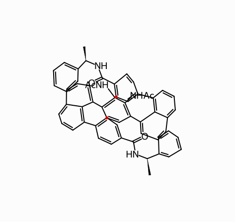 CC(=O)Nc1c(-c2cccc3cccc(-c4ccc(C(=O)N[C@H](C)c5ccccc5)cc4)c23)ccc(-c2cccc3cccc(-c4ccc(C(=O)N[C@H](C)c5ccccc5)cc4)c23)c1NC(C)=O